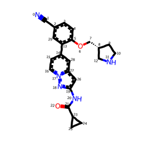 N#Cc1ccc(OC[C@@H]2CCNC2)c(-c2ccn3nc(NC(=O)C4CC4)cc3c2)c1